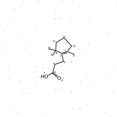 CC1=C(CCC(=O)O)C(C)(C)CCC1